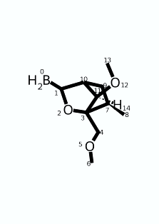 BC1OC2(COC)[C@H](C)CC1[C@H]2OC